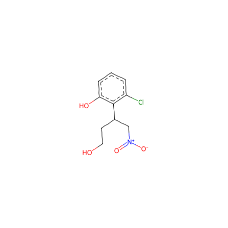 O=[N+]([O-])CC(CCO)c1c(O)cccc1Cl